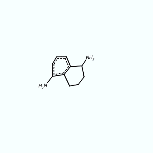 Nc1cccc2c1CCCC2N